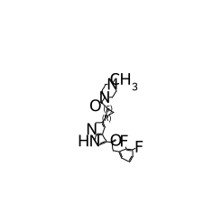 CN1CCN(C(=O)[C@H]2C[C@H]2c2cnc3[nH]cc(C(=O)Cc4cccc(F)c4F)c3c2)CC1